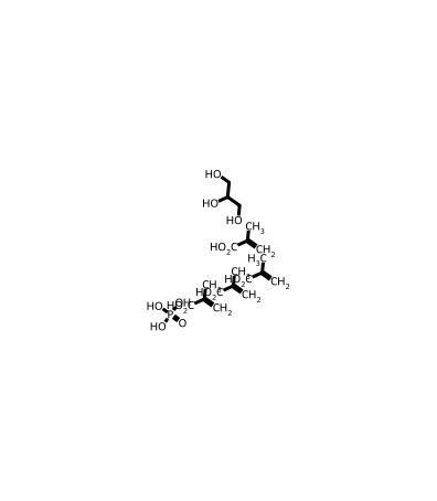 C=C(C)C(=O)O.C=C(C)C(=O)O.C=C(C)C(=O)O.C=C(C)C(=O)O.O=P(O)(O)O.OCC(O)CO